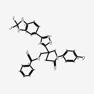 O=C(OCC1(c2nc(-c3ccc4c(c3)OC(F)(F)O4)no2)CC(=O)N(c2ccc(Cl)cc2)C1)c1ccccc1